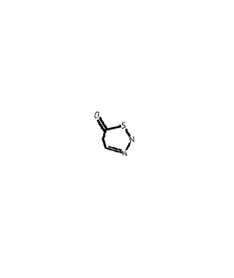 O=C1C=N[N]S1